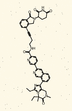 CCc1nc(-c2cccc3cc(-c4ccc(C(=O)NCCC#Cc5cccc6c5CN(C5CCC(=O)NC5=O)C6=O)nc4)ncc23)c2n1C(C)(CC)C(=O)N(C)C2